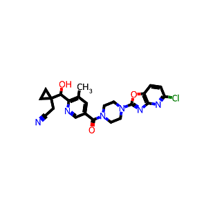 Cc1cc(C(=O)N2CCN(c3nc4nc(Cl)ccc4o3)CC2)cnc1C(O)C1(CC#N)CC1